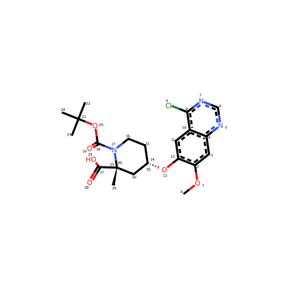 COc1cc2ncnc(Cl)c2cc1O[C@H]1CCN(C(=O)OC(C)(C)C)[C@@](C)(C(=O)O)C1